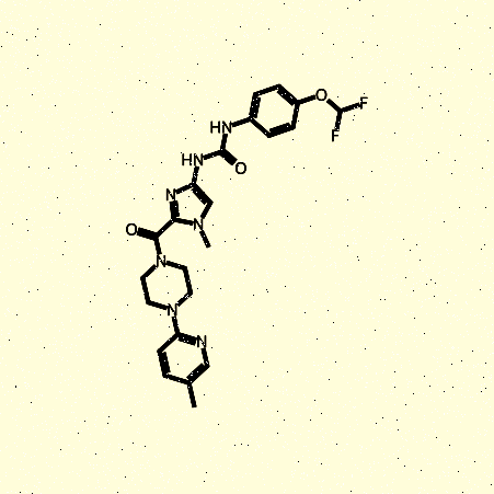 Cc1ccc(N2CCN(C(=O)c3nc(NC(=O)Nc4ccc(OC(F)F)cc4)cn3C)CC2)nc1